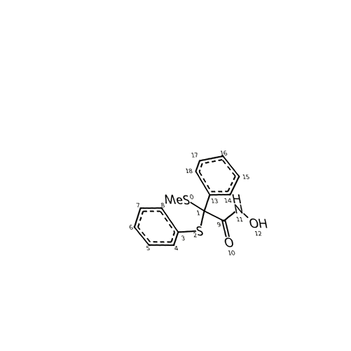 CSC(Sc1ccccc1)(C(=O)NO)c1ccccc1